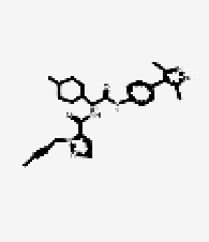 CC#CCn1nccc1C(=O)N[C@H](C(=O)Nc1ccc(-c2c(C)n[nH]c2C)cc1)C1CCC(C)CC1